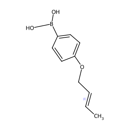 C/C=C/COc1ccc(B(O)O)cc1